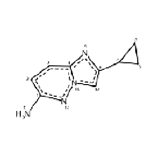 Nc1ccc2nc(C3CC3)cn2n1